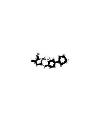 C=C1C[C@@H](Cc2ccc(-c3ccccc3)cc2)N(C(=O)O)C1=O